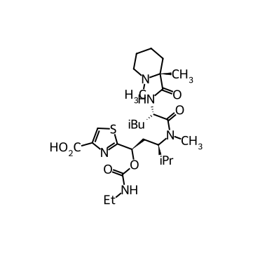 CCNC(=O)O[C@H](C[C@H](C(C)C)N(C)C(=O)[C@@H](NC(=O)[C@@]1(C)CCCCN1C)[C@@H](C)CC)c1nc(C(=O)O)cs1